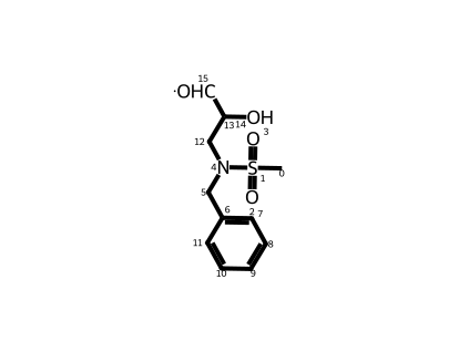 CS(=O)(=O)N(Cc1ccccc1)CC(O)[C]=O